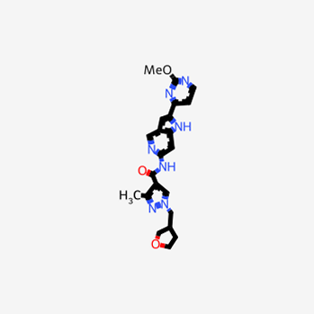 COc1nccc(-c2cc3cnc(NC(=O)c4cn(CC5CCOC5)nc4C)cc3[nH]2)n1